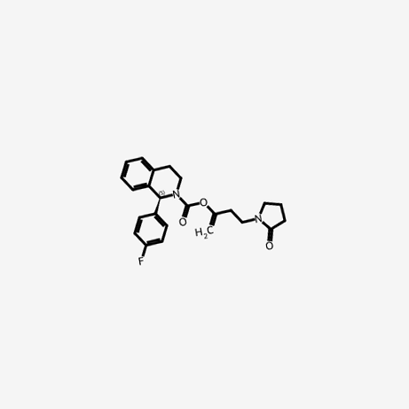 C=C(CCN1CCCC1=O)OC(=O)N1CCc2ccccc2[C@@H]1c1ccc(F)cc1